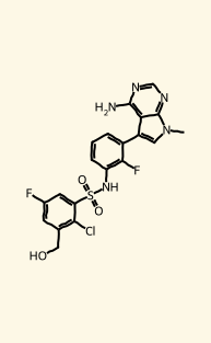 Cn1cc(-c2cccc(NS(=O)(=O)c3cc(F)cc(CO)c3Cl)c2F)c2c(N)ncnc21